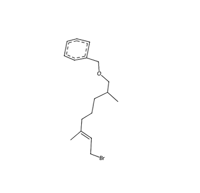 CC(=CCBr)CCCC(C)COCc1ccccc1